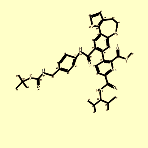 COC(=O)c1nc(C(=O)NC(C(C)C)C(C)C)ccc1-c1cc2c(cc1C(=O)Nc1ccc(CNC(=O)OC(C)(C)C)cc1)-c1sccc1CCO2